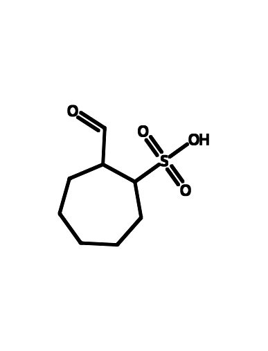 O=CC1CCCCCC1S(=O)(=O)O